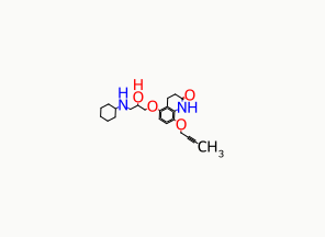 CC#CCOc1ccc(OCC(O)CNC2CCCCC2)c2c1NC(=O)CC2